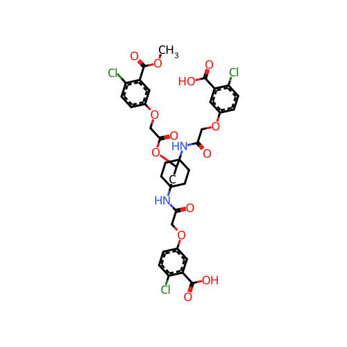 COC(=O)c1cc(OCC(=O)OC2CC3(NC(=O)COc4ccc(Cl)c(C(=O)O)c4)CCC2(NC(=O)COc2ccc(Cl)c(C(=O)O)c2)CC3)ccc1Cl